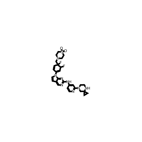 O=S1(=O)CCN(CC2(F)C=CC(n3ccc4cnc(Nc5ccnc(N6CCNC7(CC7)C6)c5)nc43)=CC2F)CC1